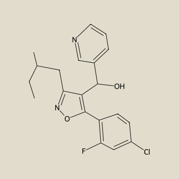 CCC(C)Cc1noc(-c2ccc(Cl)cc2F)c1C(O)c1cccnc1